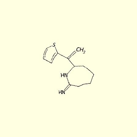 C=C(c1cccs1)C1CCCCC(=N)N1